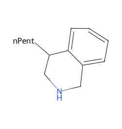 CCCCCC1CNCc2ccccc21